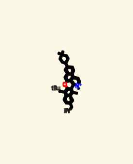 Cc1c2c(c(CC(C)(C)C)c3ccc(CC(C)C)cc13)Oc1cc3cc(C4CCC(C)(C)CC4)ccc3c3cc[n+](C)c-2c13